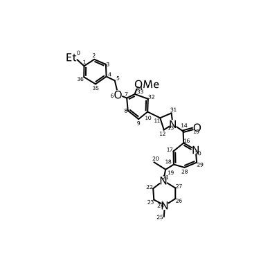 CCc1ccc(COc2ccc(C3CN(C(=O)c4cc(C(C)N5CCN(C)CC5)ccn4)C3)cc2OC)cc1